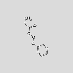 C=CC(=O)OOOc1ccccc1